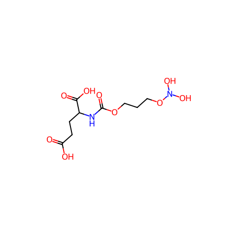 O=C(O)CCC(NC(=O)OCCCON(O)O)C(=O)O